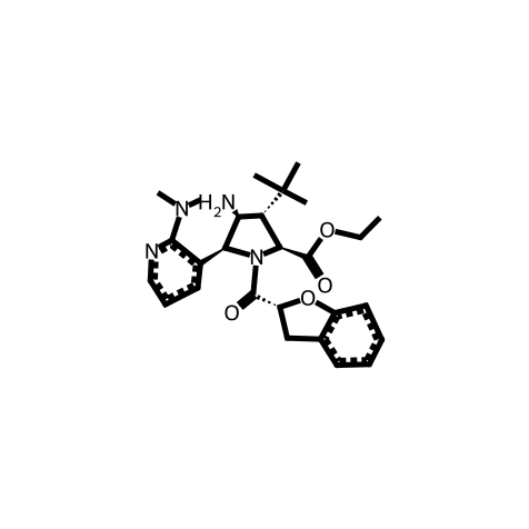 CCOC(=O)[C@@H]1[C@@H](C(C)(C)C)[C@H](N)[C@H](c2cccnc2N(C)C)N1C(=O)[C@H]1Cc2ccccc2O1